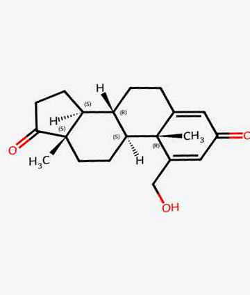 C[C@]12C(CO)=CC(=O)C=C1CC[C@@H]1[C@@H]2CC[C@]2(C)C(=O)CC[C@@H]12